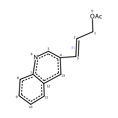 CC(=O)OC/C=C/c1cnc2ccccc2c1